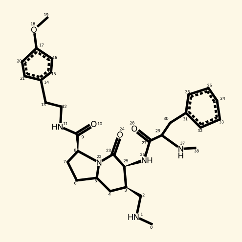 CNC[C@H]1CC2CC[C@@H](C(=O)NCCc3ccc(OC)cc3)N2C(=O)[C@H]1NC(=O)C(Cc1ccccc1)NC